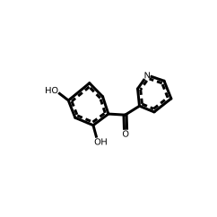 O=C(c1cccnc1)c1ccc(O)cc1O